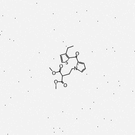 CCc1ccsc1C(=O)c1cccn1CCC(C(=O)OC)C(=O)OC